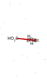 CCOCCOCCNC(=O)CCCNC(=O)CCCCCCCCCCCCCCCCCCC(=O)O